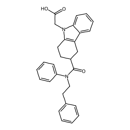 O=C(O)Cn1c2c(c3ccccc31)CC(C(=O)N(CCc1ccccc1)c1ccccc1)CC2